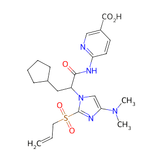 C=CCS(=O)(=O)c1nc(N(C)C)cn1C(CC1CCCC1)C(=O)Nc1ccc(C(=O)O)cn1